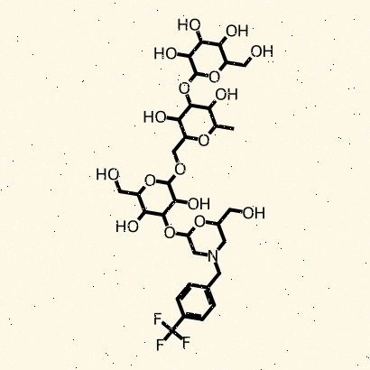 CC1OC(COC2OC(CO)C(O)C(OC3CN(Cc4ccc(C(F)(F)F)cc4)CC(CO)O3)C2O)C(O)C(OC2OC(CO)C(O)C(O)C2O)C1O